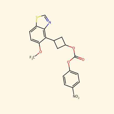 O=C(Oc1ccc([N+](=O)[O-])cc1)OC1CC(c2c(OC(F)(F)F)ccc3scnc23)C1